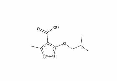 Cc1onc(OCC(C)C)c1C(=O)O